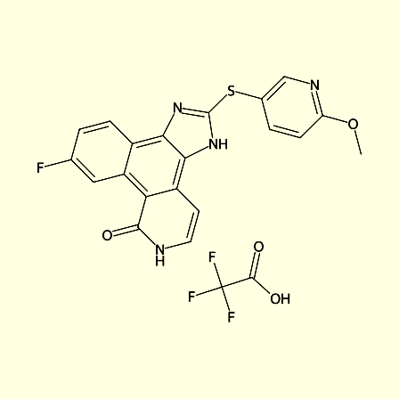 COc1ccc(Sc2nc3c4ccc(F)cc4c4c(=O)[nH]ccc4c3[nH]2)cn1.O=C(O)C(F)(F)F